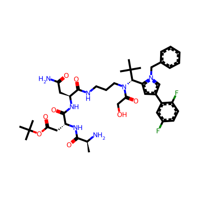 C[C@H](N)C(=O)N[C@H](CC(=O)OC(C)(C)C)C(=O)N[C@@H](CC(N)=O)C(=O)NCCCN(C(=O)CO)[C@@H](c1cc(-c2cc(F)ccc2F)cn1Cc1ccccc1)C(C)(C)C